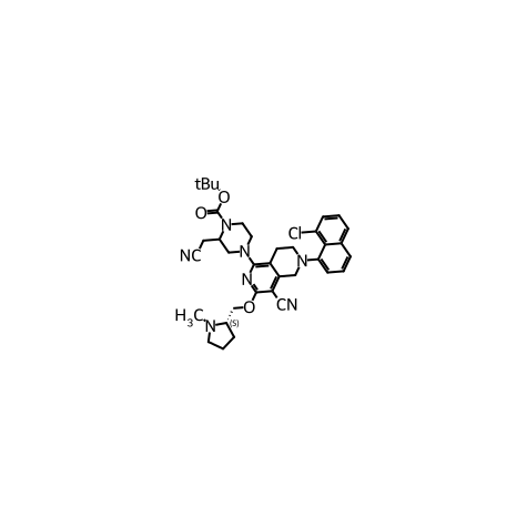 CN1CCC[C@H]1COc1nc(N2CCN(C(=O)OC(C)(C)C)C(CC#N)C2)c2c(c1C#N)CN(c1cccc3cccc(Cl)c13)CC2